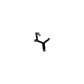 O=C(F)NP